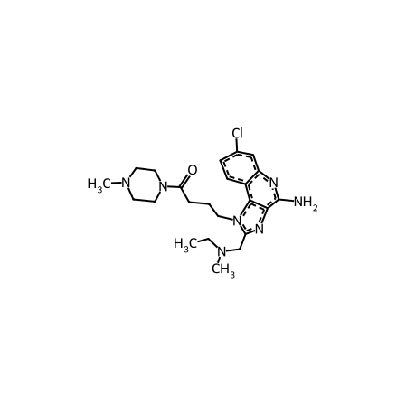 CCN(C)Cc1nc2c(N)nc3cc(Cl)ccc3c2n1CCCC(=O)N1CCN(C)CC1